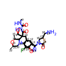 CNC(=O)NC(=O)C1(C=O)Cc2cc3c(N4CC(CN)SC4=O)noc3c(F)c2N2C[C@@H](C)O[C@@H](C)C21